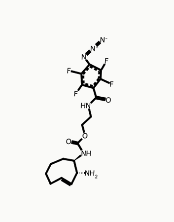 [N-]=[N+]=Nc1c(F)c(F)c(C(=O)NCCOC(=O)N[C@@H]2CCCC/C=C/[C@H]2N)c(F)c1F